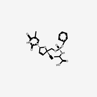 C#C[C@@]1(CO[P@@](=O)(NC(C)C(=O)O)Oc2ccccc2)C=C[C@H](n2cc(C)c(=O)[nH]c2=O)O1